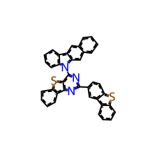 c1ccc2cc3c(cc2c1)c1ccccc1n3-c1nc(-c2ccc3sc4ccccc4c3c2)nc2c1sc1ccccc12